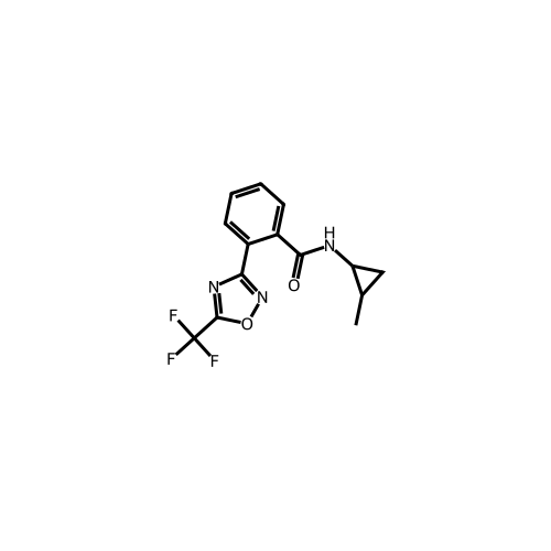 CC1CC1NC(=O)c1ccccc1-c1noc(C(F)(F)F)n1